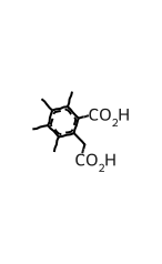 Cc1c(C)c(C)c(C(=O)O)c(CC(=O)O)c1C